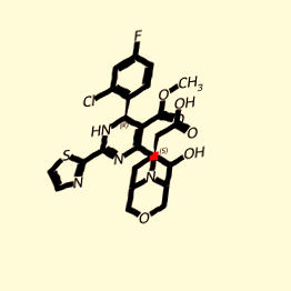 COC(=O)C1=C(CN2C3COCC2C(O)[C@H](CC(=O)O)C3)N=C(c2nccs2)N[C@H]1c1ccc(F)cc1Cl